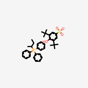 CC(C)(C)c1cc(S(=O)(=O)[O-])cc(C(C)(C)C)c1O.CCC(C)[P+](c1ccccc1)(c1ccccc1)c1ccccc1